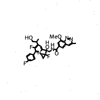 COc1cc(C(=O)NCC(O)(c2cc(C(C)CO)c(F)c(-c3ccc(F)cc3)n2)C2(F)CC2)cc2cc(C)nnc12